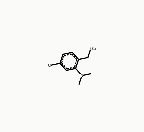 CN(C)c1cc(Cl)ccc1CC(C)(C)C